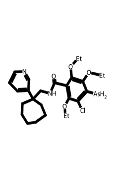 CCOc1c([AsH2])c(Cl)c(OCC)c(C(=O)NCC2(c3cccnc3)CCCCCC2)c1OCC